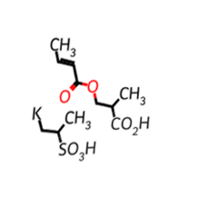 CC([CH2][K])S(=O)(=O)O.CC=CC(=O)OCC(C)C(=O)O